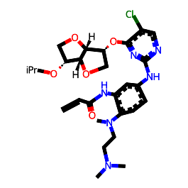 C=CC(=O)Nc1cc(Nc2ncc(Cl)c(O[C@@H]3CO[C@H]4[C@@H]3OC[C@H]4OC(C)C)n2)ccc1N(C)CCN(C)C